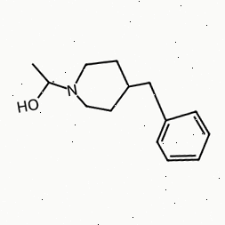 C[C](O)N1CCC(Cc2ccccc2)CC1